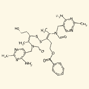 CC(=C(CCO)SSC(CCOC(=O)c1ccccc1)=C(C)N(C=O)Cc1cnc(C)nc1N)N(C=O)Cc1cnc(C)nc1N